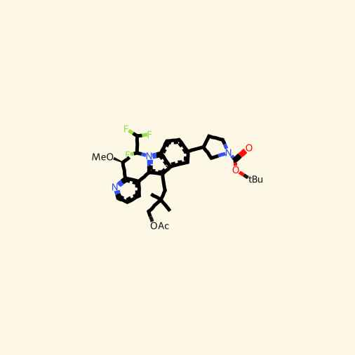 CO[C@@H](C)c1ncccc1-c1c(CC(C)(C)COC(C)=O)c2cc(C3CCN(C(=O)OC(C)(C)C)C3)ccc2n1C(F)C(F)F